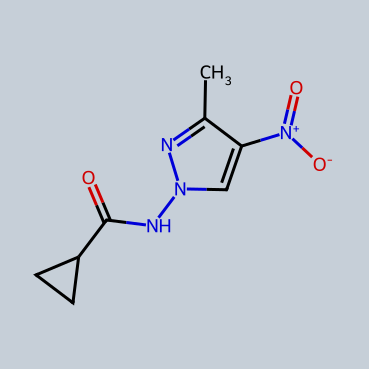 Cc1nn(NC(=O)C2CC2)cc1[N+](=O)[O-]